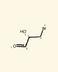 Cl.O=CCCBr